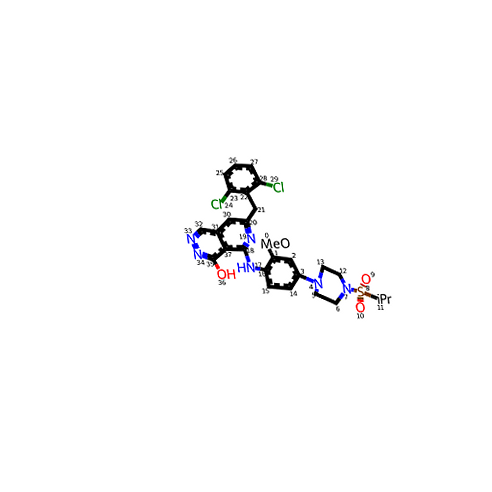 COc1cc(N2CCN(S(=O)(=O)C(C)C)CC2)ccc1Nc1nc(Cc2c(Cl)cccc2Cl)cc2cnnc(O)c12